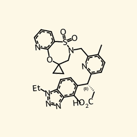 CCn1nnc2c(C)c([C@@H](CC(=O)O)c3ccc(C)c(CN4CC5(CC5)Oc5ncccc5S4(=O)=O)n3)ccc21